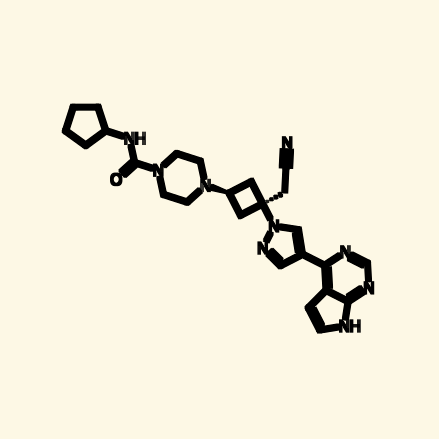 N#CC[C@]1(n2cc(-c3ncnc4[nH]ccc34)cn2)C[C@@H](N2CCN(C(=O)NC3CCCC3)CC2)C1